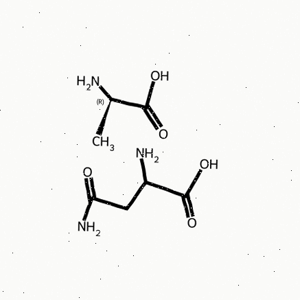 C[C@@H](N)C(=O)O.NC(=O)CC(N)C(=O)O